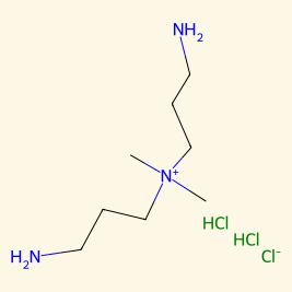 C[N+](C)(CCCN)CCCN.Cl.Cl.[Cl-]